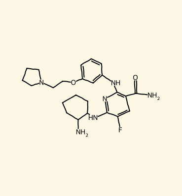 NC(=O)c1cc(F)c(NC2CCCCC2N)nc1Nc1cccc(OCCN2CCCC2)c1